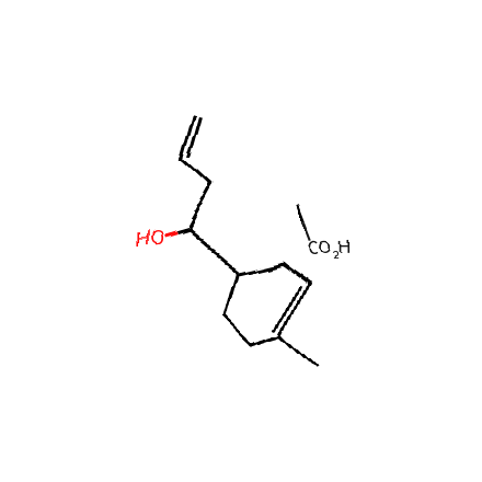 C=CCC(O)C1CC=C(C)CC1.CC(=O)O